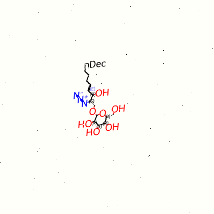 CCCCCCCCCCCCC/C=C/[C@@H](O)[C@H](COC1O[C@H](CO)[C@H](O)[C@H](O)[C@H]1O)N=[N+]=[N-]